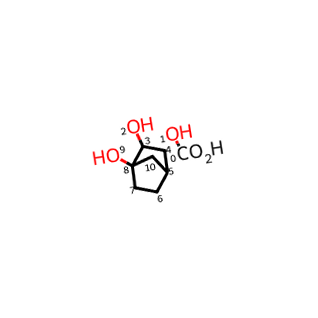 O=C(O)O.OC1CC2CCC1(O)C2